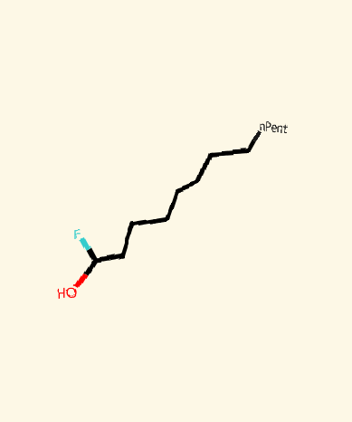 CCCCCCCCCCCCC(O)F